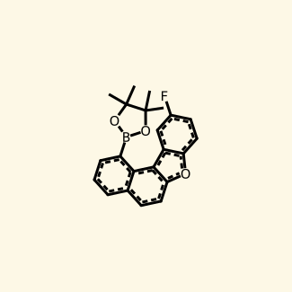 CC1(C)OB(c2cccc3ccc4oc5ccc(F)cc5c4c23)OC1(C)C